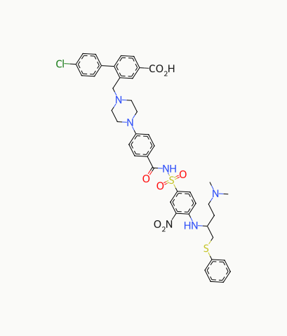 CN(C)CCC(CSc1ccccc1)Nc1ccc(S(=O)(=O)NC(=O)c2ccc(N3CCN(Cc4cc(C(=O)O)ccc4-c4ccc(Cl)cc4)CC3)cc2)cc1[N+](=O)[O-]